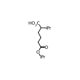 CC(C)OC(=O)CCCC(C(=O)O)C(C)C